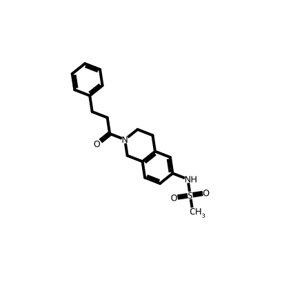 CS(=O)(=O)Nc1ccc2c(c1)CCN(C(=O)CCc1ccccc1)C2